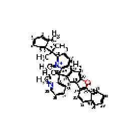 Cc1ccccc1C(C)(C)c1cccc(C(C)(c2cc3c(cc2C)oc2c4ccccc4ccc32)c2cccc[n+]2C)[n+]1C